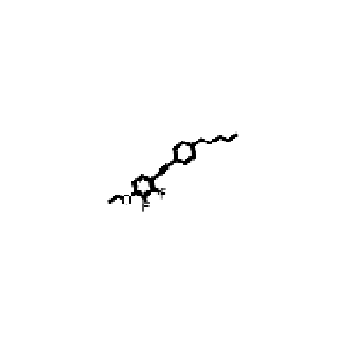 CCCCCC1C=CC(C#Cc2ccc(OCC)c(F)c2F)CC1